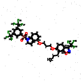 CCCc1c(OCCCOc2cccc3c2ccn3S(=O)(=O)c2cc(C(F)(F)F)cc(C(F)(F)F)c2)ccc2c(C(F)(F)F)noc12